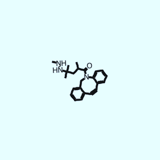 CNNC(C)(C)CC(C)C(=O)N1Cc2ccccc2C#Cc2ccccc21